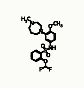 COc1ccc(NS(=O)(=O)c2ccccc2OC(F)F)cc1N1CCCN(C)CC1